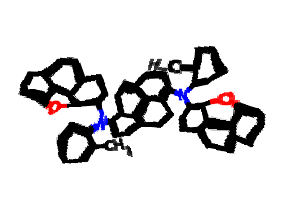 Cc1ccccc1N(c1ccc2ccc3c(N(c4ccccc4C)c4ccc5ccc6cccc7oc4c5c67)ccc4ccc1c2c43)c1ccc2ccc3cccc4oc1c2c34